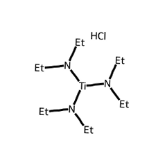 CC[N](CC)[Ti]([N](CC)CC)[N](CC)CC.Cl